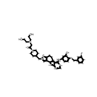 O=C(CN(CCO)CCO)N1CCC(Cn2cc3c(n2)CCc2c-3sc3ncnc(Nc4ccc(OCc5cccc(F)c5)c(Cl)c4)c23)CC1